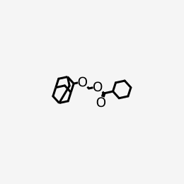 O=C(OCOC1C2CC3CC(C2)CC1C3)C1CCCCC1